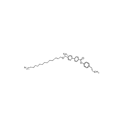 CCCCCCCCCCCCCCOC(C)c1ccc(-c2ccc(C(=O)Oc3ccc(CCC)cc3)cc2)cc1